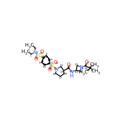 CCN(CC)S(=O)(=O)c1ccc(S(=O)(=O)N2CCCC(C(=O)NC3CN(C(=O)C(C)(C)C)C3)C2)cc1